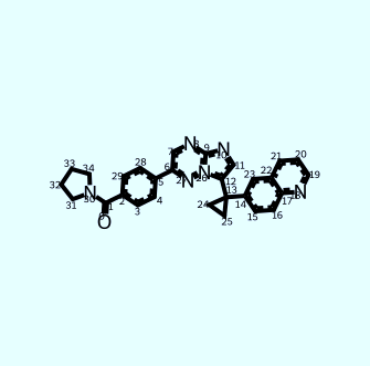 O=C(c1ccc(-c2cnc3ncc(C4(c5ccc6ncccc6c5)CC4)n3n2)cc1)N1CCCC1